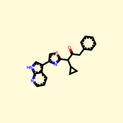 O=C(Cc1ccccc1)C(c1nc(-c2c[nH]c3ncccc23)cs1)C1CC1